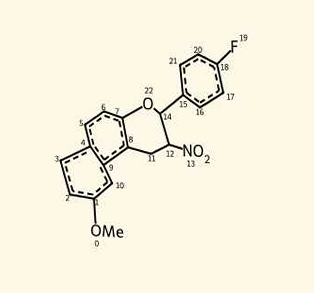 COc1ccc2ccc3c(c2c1)CC([N+](=O)[O-])C(c1ccc(F)cc1)O3